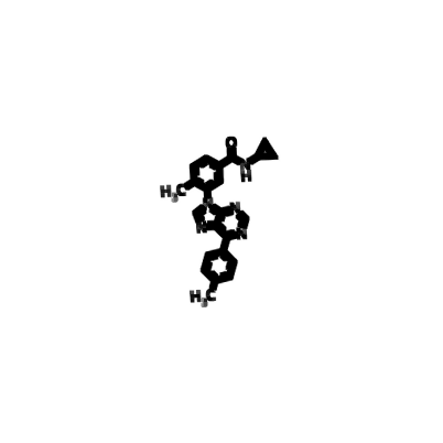 Cc1ccc(-c2ncnc3c2ncn3-c2cc(C(=O)NC3CC3)ccc2C)cc1